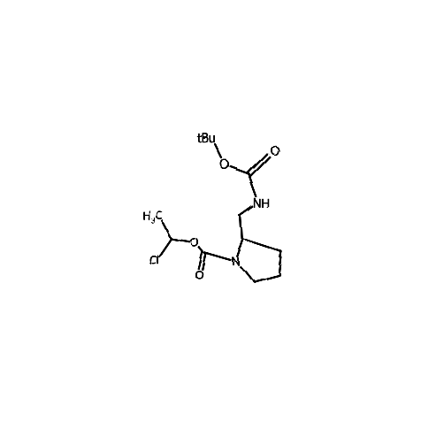 CC(Cl)OC(=O)N1CCCC1CNC(=O)OC(C)(C)C